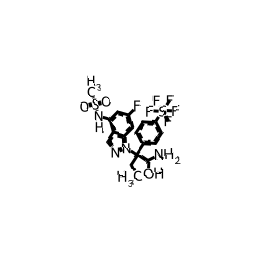 CCC(c1ccc(S(F)(F)(F)(F)F)cc1)(C(N)O)n1ncc2c(NS(C)(=O)=O)cc(F)cc21